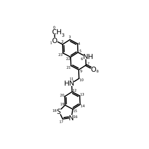 COc1ccc2[nH]c(=O)c(CNc3ccc4ncsc4c3)cc2c1